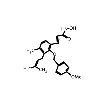 COc1ccc(COc2c(/C=C/C(=O)NO)ccc(C)c2CC=C(C)C)cc1